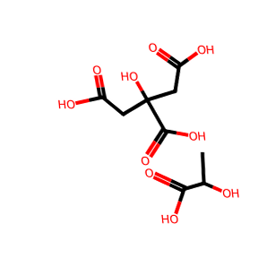 CC(O)C(=O)O.O=C(O)CC(O)(CC(=O)O)C(=O)O